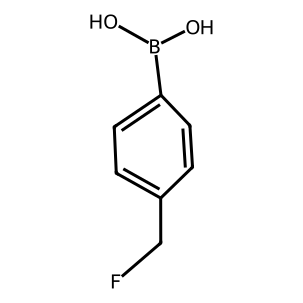 OB(O)c1ccc(CF)cc1